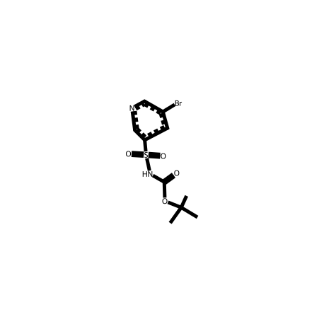 CC(C)(C)OC(=O)NS(=O)(=O)c1cncc(Br)c1